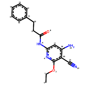 CCOc1nc(NC(=O)CCc2ccccc2)cc(N)c1C#N